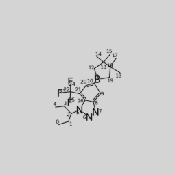 CCC(CC)n1nnc2cc(B3CC(C)(C)C(C)(C)C3)cc(C(F)(F)F)c21